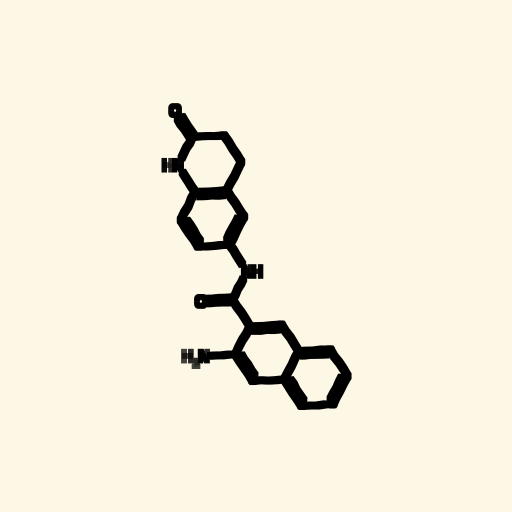 Nc1cc2ccccc2cc1C(=O)Nc1ccc2c(c1)CCC(=O)N2